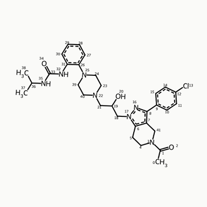 CC(=O)N1CCc2c(c(-c3ccc(Cl)cc3)nn2CC(O)CN2CCN(c3ccccc3NC(=O)NC(C)C)CC2)C1